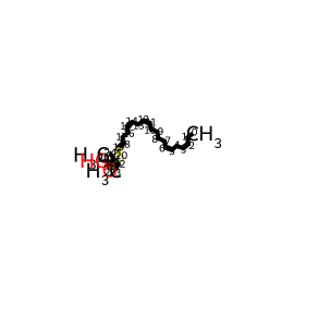 CC/C=C\C/C=C\CCCC/C=C\C/C=C\CCC=CSC(CC)(CC)C(=O)O